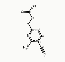 Cc1nc(CCC(=O)O)ccc1C#N